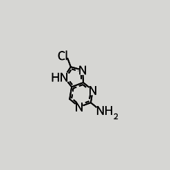 Nc1ncc2[nH]c(Cl)nc2n1